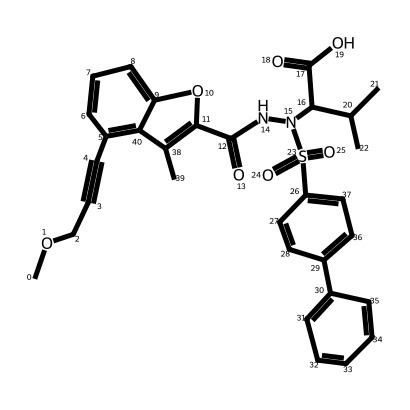 COCC#Cc1cccc2oc(C(=O)NN(C(C(=O)O)C(C)C)S(=O)(=O)c3ccc(-c4ccccc4)cc3)c(C)c12